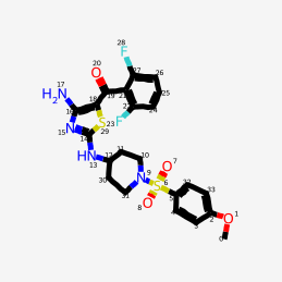 COc1ccc(S(=O)(=O)N2CCC(Nc3nc(N)c(C(=O)c4c(F)cccc4F)s3)CC2)cc1